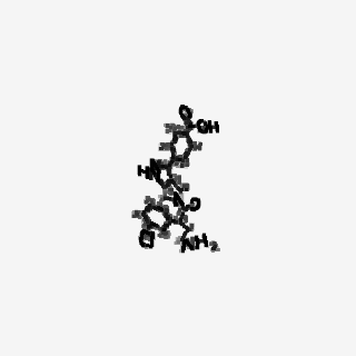 NCCC(C(=O)N1Cc2[nH]nc(-c3ccc(C(=O)O)cc3)c2C1)c1cccc(Cl)c1